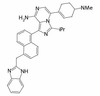 CNC1CC=C(c2cnc(N)c3c(-c4cccc5c(Cc6nc7ccccc7[nH]6)cccc45)nc(C(C)C)n23)CC1